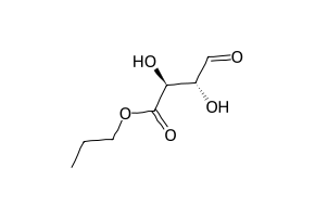 CCCOC(=O)[C@@H](O)[C@@H](O)C=O